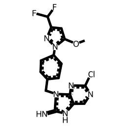 COc1cc(C(F)F)nn1-c1ccc(Cn2c(=N)[nH]c3cnc(Cl)nc32)cc1